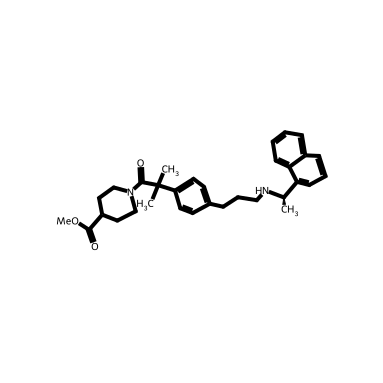 COC(=O)C1CCN(C(=O)C(C)(C)c2ccc(CCCN[C@H](C)c3cccc4ccccc34)cc2)CC1